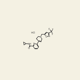 Cl.O=C(NC1CC1)c1cccc(C2=CCN(Cc3cc(C(F)(F)F)no3)CC2)n1